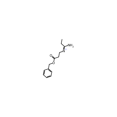 CC/C(N)=N\CCC(=O)OCc1ccccc1